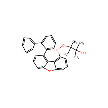 CC(C)(O)C(C)(C)OBc1cccc2oc3cccc(-c4ccccc4-c4ccccc4)c3c12